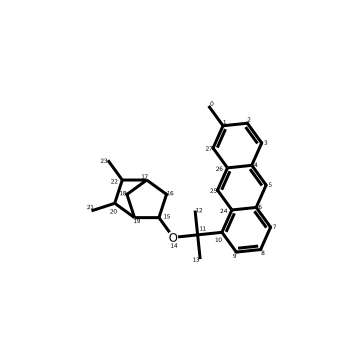 Cc1ccc2cc3cccc(C(C)(C)OC4CC5CC4C(C)C5C)c3cc2c1